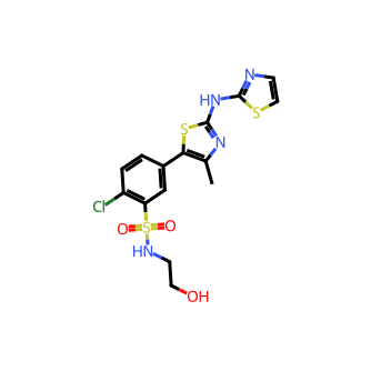 Cc1nc(Nc2nccs2)sc1-c1ccc(Cl)c(S(=O)(=O)NCCO)c1